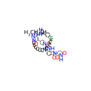 Cc1nc2c3cc(C4CCN(C(=O)CNc5cccc6c5CN(C5CCC(=O)NC5=O)C6=O)CC4)c(=O)n(c3n1)CCCCCCN1CC(CCC(F)(F)c3cccc(c3)[C@@H](C)N2)C1